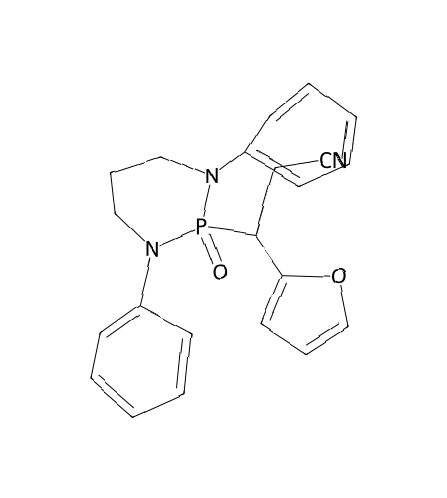 N#CCC(c1ccco1)P1(=O)N(c2ccccc2)CCCN1c1ccccc1